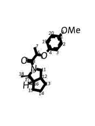 COc1ccc(OC(C)C(=O)N2CC3CCC[C@@H]3[C@H]2C)cc1